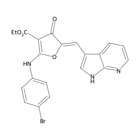 CCOC(=O)C1=C(Nc2ccc(Br)cc2)O/C(=C\c2c[nH]c3ncccc23)C1=O